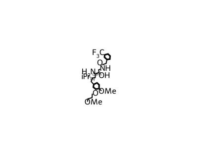 COCCCOc1cc(C[C@@H](C[C@H](N)[C@@H](O)CNC(=O)Cc2cccc(C(F)(F)F)c2)C(C)C)ccc1OC